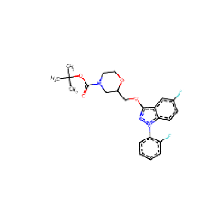 CC(C)(C)OC(=O)N1CCOC(COc2nn(-c3ccccc3F)c3ccc(F)cc23)C1